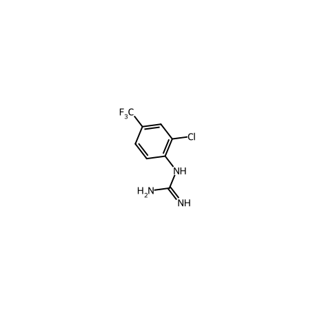 N=C(N)Nc1ccc(C(F)(F)F)cc1Cl